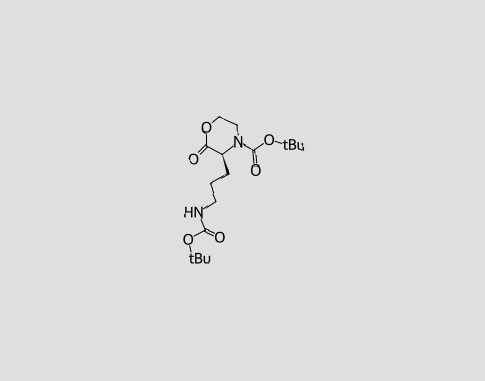 CC(C)(C)OC(=O)NCCC[C@H]1C(=O)OCCN1C(=O)OC(C)(C)C